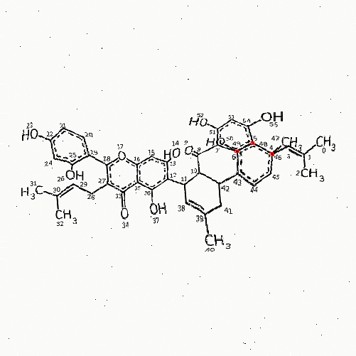 CC(C)=CCc1cc(C(=O)C2C(c3c(O)cc4oc(-c5ccc(O)cc5O)c(CC=C(C)C)c(=O)c4c3O)C=C(C)CC2c2ccc(C)cc2O)c(O)cc1O